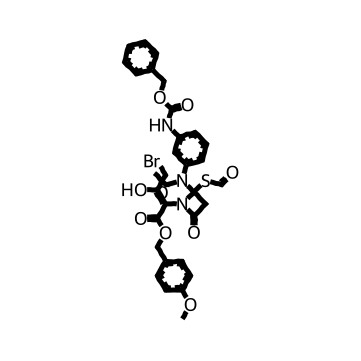 COc1ccc(COC(=O)C(=C(O)CBr)N2C(=O)CC2(SC=O)N(C(C)=O)c2cccc(NC(=O)OCc3ccccc3)c2)cc1